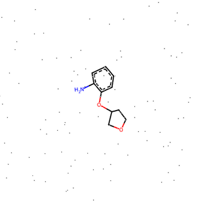 Nc1cc[c]cc1OC1CCOC1